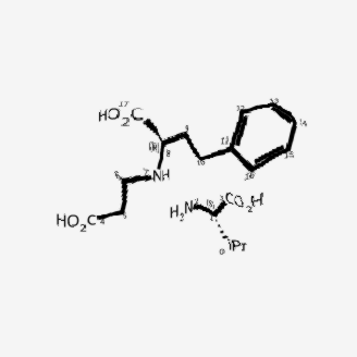 CC(C)[C@H](N)C(=O)O.O=C(O)CCN[C@H](CCc1ccccc1)C(=O)O